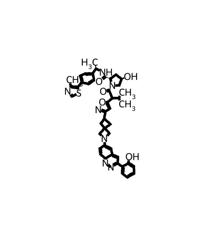 Cc1ncsc1-c1ccc([C@H](C)NC(=O)[C@@H]2C[C@@H](O)CN2C(=O)C(c2cc(C3CC4(C3)CN(c3ccc5nnc(-c6ccccc6O)cc5c3)C4)no2)C(C)C)cc1